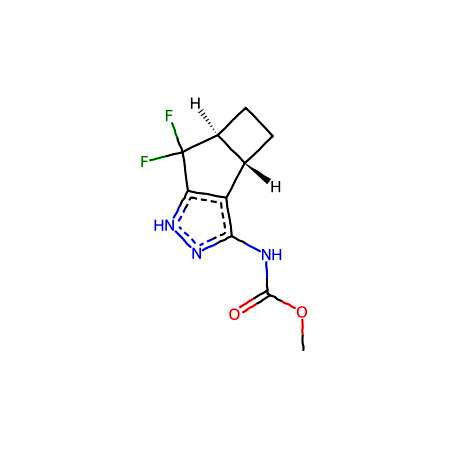 COC(=O)Nc1n[nH]c2c1[C@H]1CC[C@@H]1C2(F)F